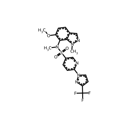 COc1ccc2cnn(C)c2c1N(C)S(=O)(=O)c1ccc(-n2ccc(C(F)(F)F)n2)nc1